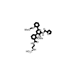 COCOc1ccccc1-c1cc(-c2cccc(C(=O)NCCNC(=O)O)c2OC)c(C#N)c(NC(=O)c2ccco2)n1